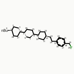 CCCC[C@H]1CC[C@H]([C@H]2CC[C@H]([C@H]3CC[C@H](CCc4ccc(CF)cc4)CC3)CC2)CC1